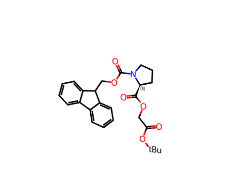 CC(C)(C)OC(=O)COC(=O)[C@@H]1CCCN1C(=O)OCC1c2ccccc2-c2ccccc21